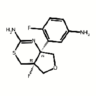 NC1=N[C@@]2(c3cc(N)ccc3F)COC[C@@]2(F)CS1